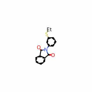 CCSc1cccc(N2C(=O)c3ccccc3C2=O)c1